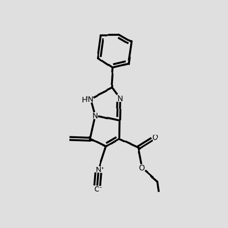 [C-]#[N+]c1c(C(=O)OCC)c2n(c1=C)NC(c1ccccc1)N=2